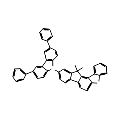 CC1(C)c2cc(-n3c4ccc(-c5ccccc5)cc4c4cc(-c5ccccc5)ccc43)ccc2-c2ccc3sc4ccccc4c3c21